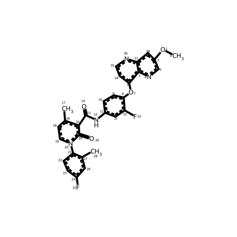 COc1cnc2c(Oc3ccc(NC(=O)c4c(C)ccn(-c5ccc(F)cc5C)c4=O)cc3F)ccnc2c1